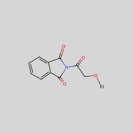 CCOCC(=O)N1C(=O)c2ccccc2C1=O